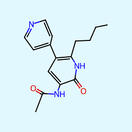 CCCCc1[nH]c(=O)c(NC(C)=O)cc1-c1ccncc1